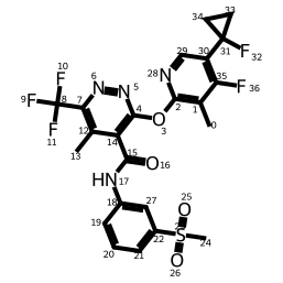 Cc1c(Oc2nnc(C(F)(F)F)c(C)c2C(=O)Nc2cccc(S(C)(=O)=O)c2)ncc(C2(F)CC2)c1F